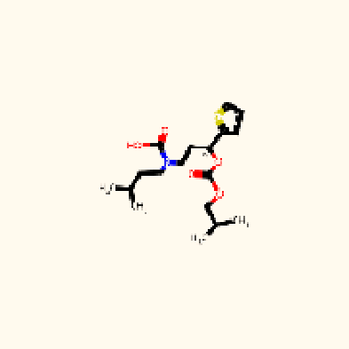 CC(C)CCN(CC[C@H](OC(=O)OCC(C)C)c1cccs1)C(=O)O